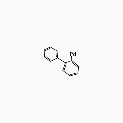 [Pd][c]1ccccc1-c1ccccc1